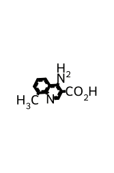 Cc1cccc2c(N)c(C(=O)O)cnc12